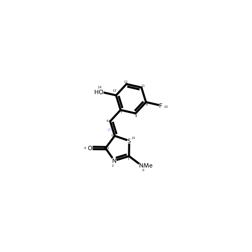 CNC1=NC(=O)/C(=C/c2cc(F)ccc2O)S1